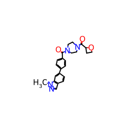 Cn1ncc2ccc(-c3ccc(C(=O)N4CCN(C(=O)C5CCO5)CC4)cc3)cc21